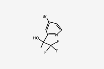 CC(O)(c1cc(Br)ccn1)C(F)(F)F